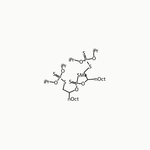 CCCCCCCCC(CSP(=S)(OC(C)C)OC(C)C)OP(=S)(OC(CCCCCCCC)CSP(=S)(OC(C)C)OC(C)C)SC